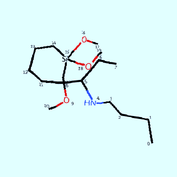 CCCCNC(CC)C1(OC)CCCC[Si]1(OC)OC